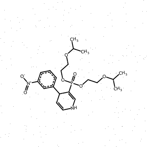 CC(C)OCCOP(=O)(OCCOC(C)C)C1=CNC=CC1c1cccc([N+](=O)[O-])c1